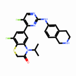 CC(C)N1C(=O)CSc2c(F)cc(-c3nc(Nc4ccc5c(c4)CCNC5)ncc3F)cc21